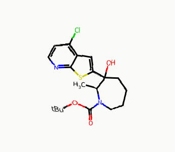 CC1N(C(=O)OC(C)(C)C)CCCCC1(O)c1cc2c(Cl)ccnc2s1